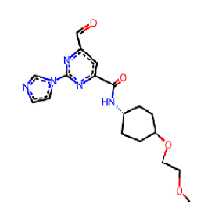 COCCO[C@H]1CC[C@H](NC(=O)c2cc(C=O)nc(-n3ccnc3)n2)CC1